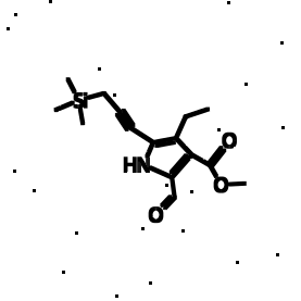 CCc1c(C#CC[Si](C)(C)C)[nH]c(C=O)c1C(=O)OC